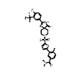 Cc1ccc(C(=O)N(C)C)cc1-c1ccc(S(=O)(=O)N2CCC3(CC2)N=C(c2ccc(F)c(C(F)(F)F)c2)NC3=O)s1